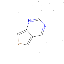 c1ncc2cscc2n1